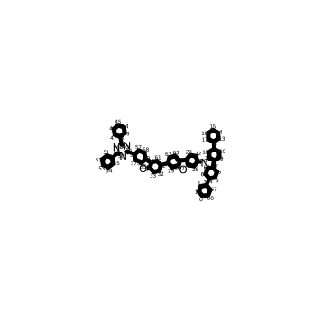 c1ccc(-c2ccc3c4ccc(-c5ccccc5)cc4n(-c4ccc5c(c4)oc4cc(-c6ccc7oc8cc(-c9nc(-c%10ccccc%10)nc(-c%10ccccc%10)n9)ccc8c7c6)ccc45)c3c2)cc1